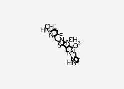 CNc1ccc(F)c(Cc2nc3c(s2)c2cnn(Cc4cc[nH]n4)c(=O)c2n3C)n1